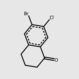 O=C1CCCc2cc(Br)c(Cl)cc21